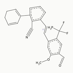 COc1cc(/C=C/c2cccc(C3=CCCC=C3)c2C#N)c(C(F)(F)P)cc1C=O